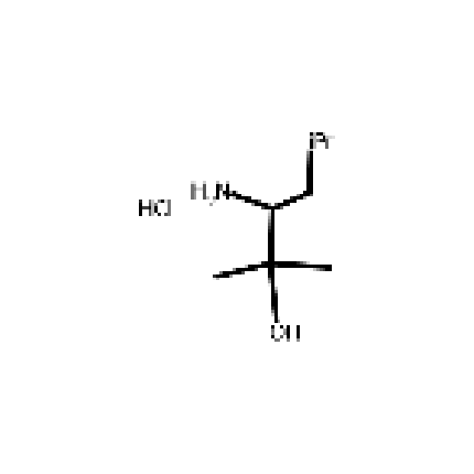 CC(C)CC(N)C(C)(C)O.Cl